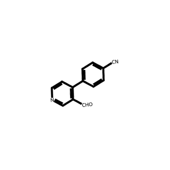 N#Cc1ccc(-c2ccncc2C=O)cc1